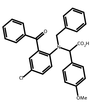 COc1ccc(C(C(=O)O)N(Cc2ccccc2)c2ccc(Cl)cc2C(=O)c2ccccc2)cc1